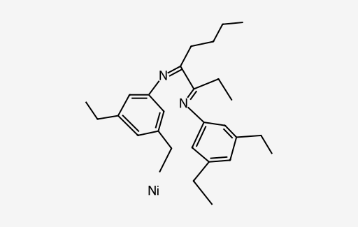 CCCCC(=Nc1cc(CC)cc(CC)c1)C(CC)=Nc1cc(CC)cc(CC)c1.[Ni]